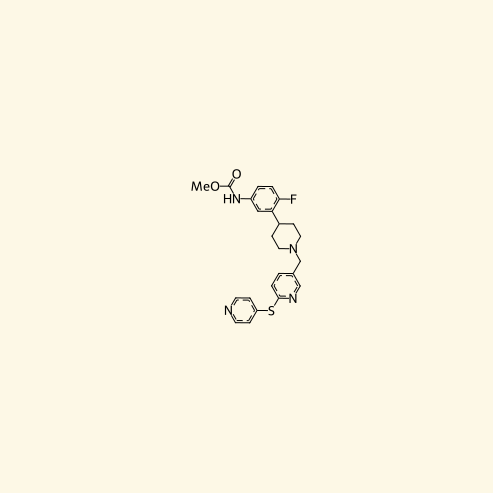 COC(=O)Nc1ccc(F)c(C2CCN(Cc3ccc(Sc4ccncc4)nc3)CC2)c1